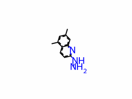 Cc1cc(C)c2ccc(NN)nc2c1